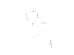 N#C/C=C(\C#N)Nc1ccccc1